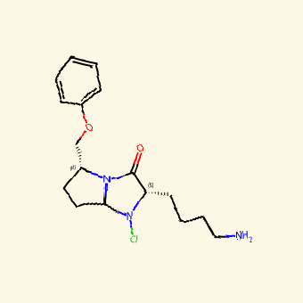 NCCCC[C@H]1C(=O)N2C(CC[C@@H]2COc2ccccc2)N1Cl